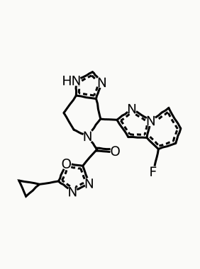 O=C(c1nnc(C2CC2)o1)N1CCc2[nH]cnc2C1c1cc2c(F)cccn2n1